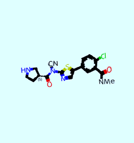 CNC(=O)c1cc(-c2cnc(N(C#N)C(=O)[C@H]3CCNC3)s2)ccc1Cl